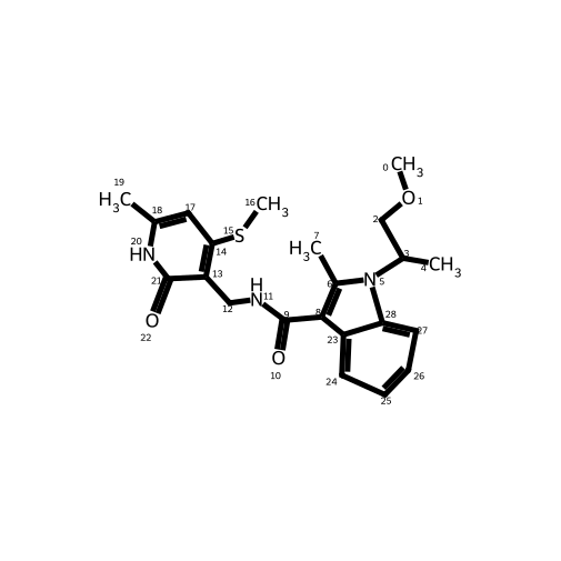 COCC(C)n1c(C)c(C(=O)NCc2c(SC)cc(C)[nH]c2=O)c2ccccc21